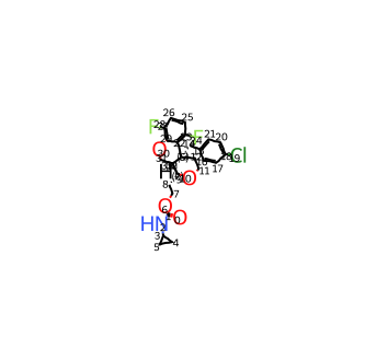 O=C(NC1CC1)OCC[C@H]1OCC[C@]2(Cc3ccc(Cl)cc3)c3c(F)ccc(F)c3OC[C@H]12